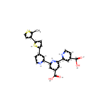 Cc1sccc1-c1ccc(-c2ccnc(-c3cc(C(=O)O)cc(-c4cc(C(=O)O)ccn4)n3)c2)s1